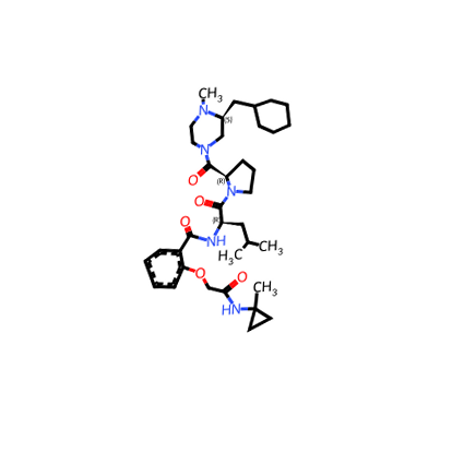 CC(C)C[C@@H](NC(=O)c1ccccc1OCC(=O)NC1(C)CC1)C(=O)N1CCC[C@@H]1C(=O)N1CCN(C)[C@@H](CC2CCCCC2)C1